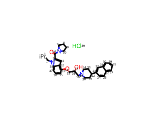 CC(C)Cn1c(C(=O)N2CCCC2)cc2c(OC[C@@H](O)CN3CCC(c4ccc5ccccc5c4)CC3)cccc21.Cl